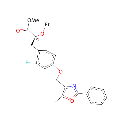 CCO[C@@H](Cc1ccc(OCc2nc(-c3ccccc3)oc2C)cc1F)C(=O)OC